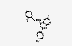 Cc1ccc2nc(-c3ccc(Br)cc3)nc(NCc3ccccc3F)c2c1